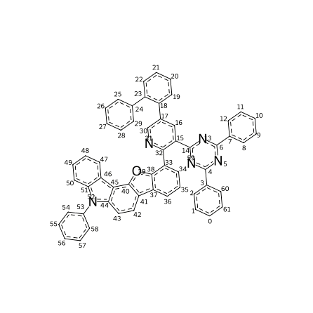 c1ccc(-c2nc(-c3ccccc3)nc(-c3cc(-c4ccccc4-c4ccccc4)cnc3-c3cccc4c3oc3c4ccc4c3c3ccccc3n4-c3ccccc3)n2)cc1